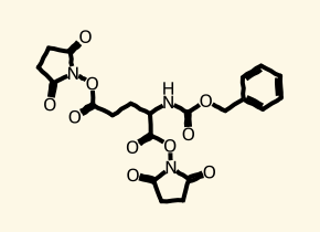 O=C(CCC(NC(=O)OCc1ccccc1)C(=O)ON1C(=O)CCC1=O)ON1C(=O)CCC1=O